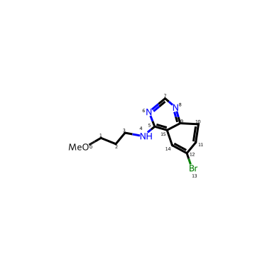 COCCCNc1ncnc2ccc(Br)cc12